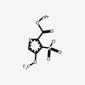 CCCOC(=O)c1scc(OC(F)(F)F)c1S(=O)(=O)Cl